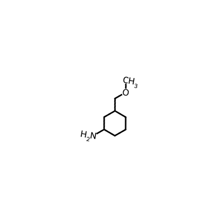 COCC1CCCC(N)C1